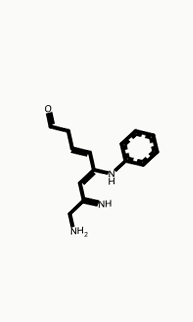 N=C(/C=C(/C=C/CC=O)Nc1ccccc1)CN